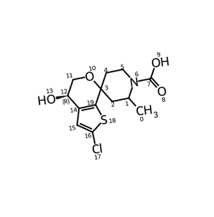 CC1CC2(CCN1C(=O)O)OC[C@H](O)c1cc(Cl)sc12